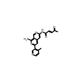 CC(=O)/C=C/C(=O)Nc1cc2cc(-c3cnccc3C)nc(N)c2cn1